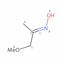 COC/C(C)=N/O